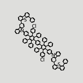 Clc1ccc(-c2c(-c3ccccc3)c(-c3ccc(-c4c(-c5ccccc5)c(-c5ccccc5)c(-c5ccc(-n6c7c(c8ccccc86)CC(c6cccc8c6sc6c(-c9ccccc9)cccc68)C=C7)cc5)c(-c5ccc(Cl)cc5)c4-c4ccccc4)cc3)c(-c3ccccc3)c(-c3ccccc3)c2-c2ccc(-n3c4c(c5ccccc53)CC(c3cccc5c3sc3c(-c6ccccc6)cccc35)C=C4)cc2)cc1